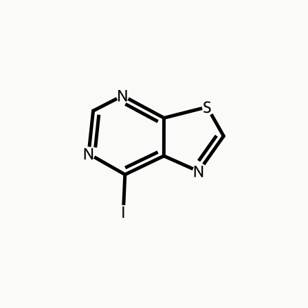 Ic1ncnc2scnc12